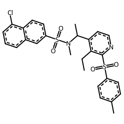 CCc1c(C(C)N(C)S(=O)(=O)c2ccc3c(Cl)cccc3c2)ccnc1S(=O)(=O)c1ccc(C)cc1